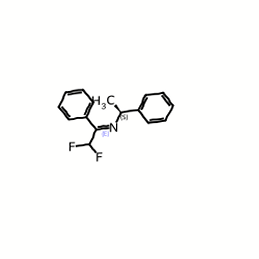 C[C@H](/N=C(\c1ccccc1)C(F)F)c1ccccc1